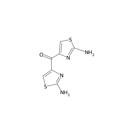 Nc1nc(C(=O)c2csc(N)n2)cs1